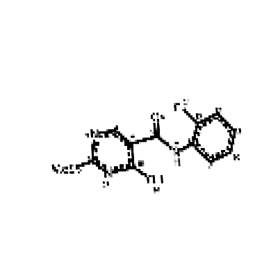 CSc1ncc(C(=O)Nc2ccccc2Cl)c(O)n1